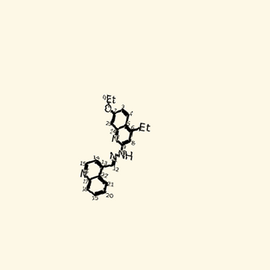 CCOc1ccc2c(CC)cc(NN=Cc3ccnc4ccccc34)nc2c1